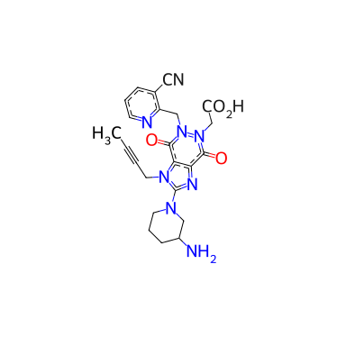 CC#CCn1c(N2CCCC(N)C2)nc2c(=O)n(CC(=O)O)n(Cc3ncccc3C#N)c(=O)c21